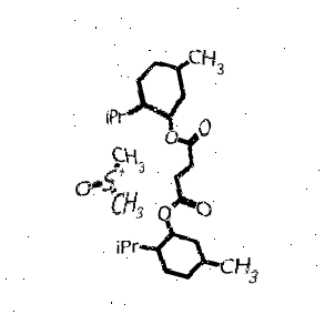 CC1CCC(C(C)C)C(OC(=O)CCC(=O)OC2CC(C)CCC2C(C)C)C1.C[S+](C)[O-]